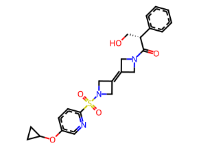 O=C([C@H](CO)c1ccccc1)N1CC(=C2CN(S(=O)(=O)c3ccc(OC4CC4)cn3)C2)C1